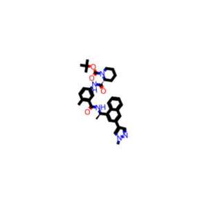 Cc1ccc(NC(=O)[C@H]2CCCCN2C(=O)OC(C)(C)C)cc1C(=O)N[C@H](C)c1cc(-c2cnn(C)c2)cc2ccccc12